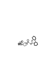 CS(=O)(=O)N[C@@H]1CCN(C(=O)[C@@H]2C[C@@]2(F)c2ccccc2-c2ccccc2)C1